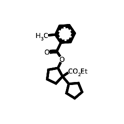 CCOC(=O)C1(C2CCCC2)CCCC1OC(=O)c1ccccc1C